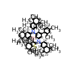 Cc1cc(C)c(-c2cc3c4c(c2)N(c2ccc5c(c2)C(C)(C)CCC5(C)C)c2sc5c(c2B4c2cc4c(cc2N3c2ccc3c(c2)C(C)(C)CCC3(C)C)C(C)(C)CCC4(C)C)C(C)(C)CCC5(C)C)c(C)c1